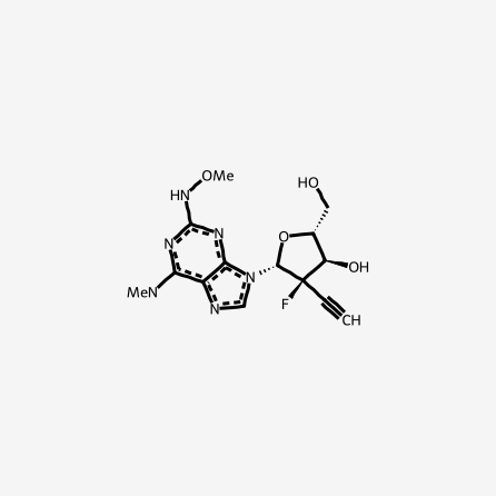 C#C[C@@]1(F)[C@H](O)[C@@H](CO)O[C@H]1n1cnc2c(NC)nc(NOC)nc21